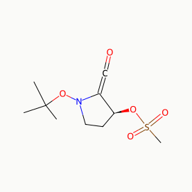 CC(C)(C)ON1CC[C@H](OS(C)(=O)=O)C1=C=O